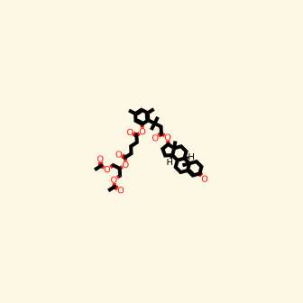 CC(=O)OCC(COC(C)=O)OC(=O)CCCC(=O)Oc1cc(C)cc(C)c1C(C)(C)CC(=O)OC1CC[C@H]2C3CCC4=CC(=O)CCC4(C)[C@H]3CCC12C